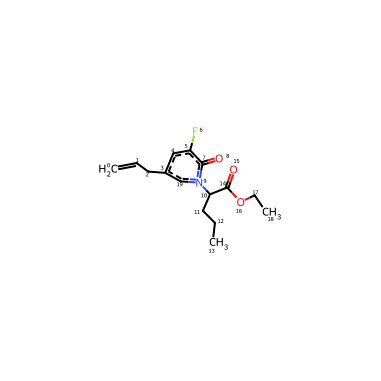 C=CCc1cc(F)c(=O)n(C(CCC)C(=O)OCC)c1